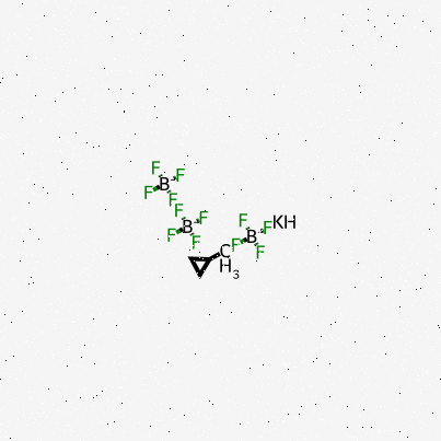 CC1CC1.F[B-](F)(F)F.F[B-](F)(F)F.F[B-](F)(F)F.[KH]